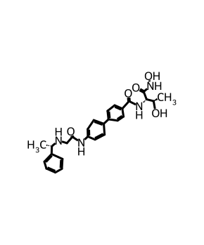 C[C@H](NCC(=O)Nc1ccc(-c2ccc(C(=O)N[C@H](C(=O)NO)[C@@H](C)O)cc2)cc1)c1ccccc1